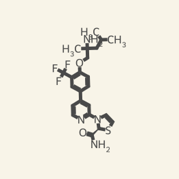 CC(C)CC(C)(N)COc1ccc(-c2ccnc(N3C=CS[C@H]3C(N)=O)c2)cc1C(F)(F)F